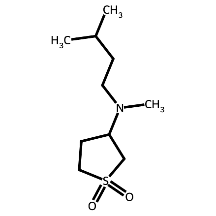 CC(C)CCN(C)C1CCS(=O)(=O)C1